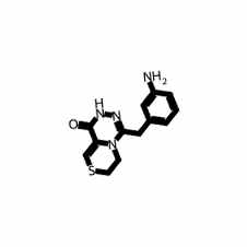 Nc1cccc(CC2=NNC(=O)C3=CSCCN32)c1